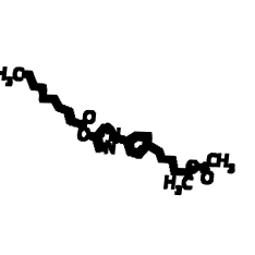 CCCCCCCC=CC(=O)Oc1cnc(-c2ccc(CCCCC(C)OC(C)=O)cc2)nc1